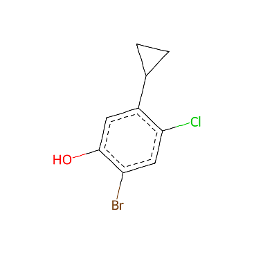 Oc1cc(C2CC2)c(Cl)cc1Br